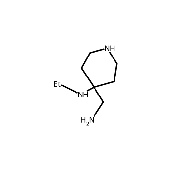 CCNC1(CN)CCNCC1